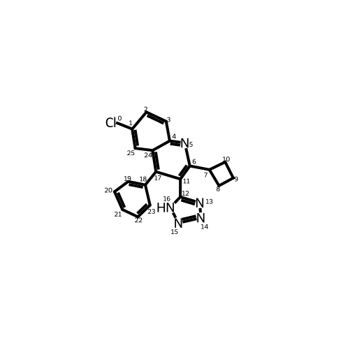 Clc1ccc2nc(C3CCC3)c(-c3nnn[nH]3)c(-c3ccccc3)c2c1